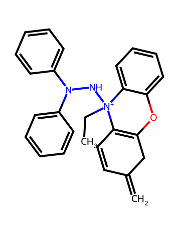 C=C1C=CC2=C(C1)Oc1ccccc1[N+]2(CC)NN(c1ccccc1)c1ccccc1